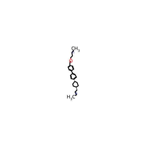 C/C=C/CCOCc1ccc(-c2ccc([C@H]3CC[C@H](C/C=C/C)CC3)cc2)cc1